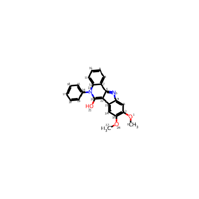 COc1cc2nc3c4ccccc4n(-c4ccccc4)c(O)c-3c2cc1OC